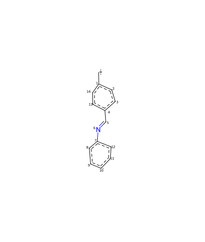 [C]c1ccc(C=Nc2cc[c]cc2)cc1